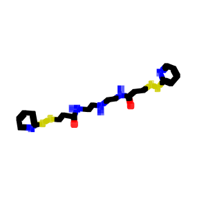 O=C(CCSSc1ccccn1)NCCNCCNC(=O)CCSSc1ccccn1